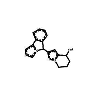 OC1CCCn2nc(C3c4ccccc4-c4cncn43)cc21